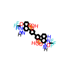 [H]/N=N/C1=C(NC(=O)C(F)(F)F)c2ccccc2C(c2ccc(-c3ccc(C4(S(=O)(=O)O)CC(/N=N/[H])=C(NC(=O)C(F)(F)F)c5ccccc54)cc3)cc2)(S(=O)(=O)O)C1